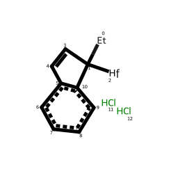 CC[C]1([Hf])C=Cc2ccccc21.Cl.Cl